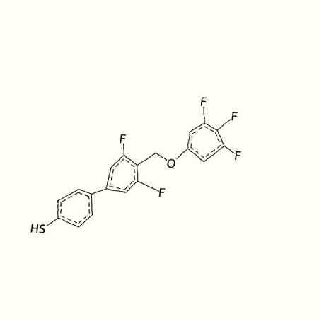 Fc1cc(OCc2c(F)cc(-c3ccc(S)cc3)cc2F)cc(F)c1F